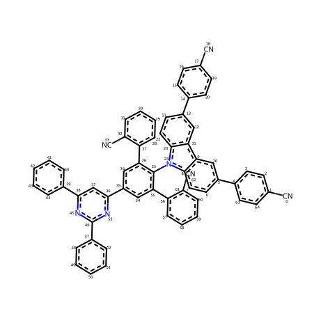 N#Cc1ccc(-c2ccc3c(c2)c2cc(-c4ccc(C#N)cc4)ccc2n3-c2c(-c3ccccc3C#N)cc(-c3cc(-c4ccccc4)nc(-c4ccccc4)n3)cc2-c2ccccc2C#N)cc1